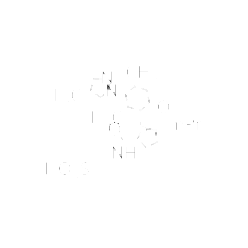 CCCC(Oc1cc(C)c(-n2cc(C(F)(F)F)cn2)c(C)c1)c1ccc(C(=O)NCCS(=O)(=O)O)s1